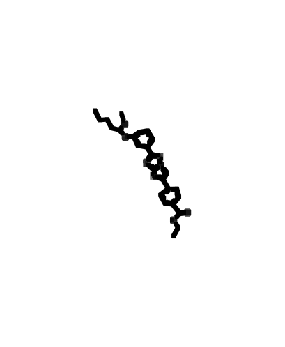 CCCCC(OC)Oc1cccc(-c2nn3cc(-c4ccc(C(=O)OCC)cc4)nc3s2)c1